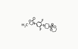 [CH2][C@H]1CN(c2cc(F)c(N3CCN(P4(=O)OCCCO4)CC3)c(F)c2)C(=O)O1